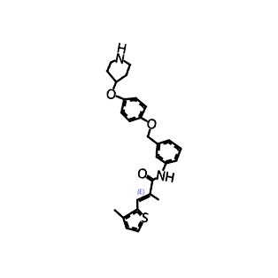 C/C(=C\c1sccc1C)C(=O)Nc1cccc(COc2ccc(OC3CCNCC3)cc2)c1